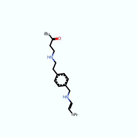 CCC/C=C/NCc1ccc(CCNCCC(=O)C(C)CC)cc1